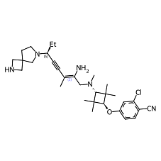 CC[C@@H](C#C/C(C)=C(\N)CN(C)[C@H]1C(C)(C)[C@H](Oc2ccc(C#N)c(Cl)c2)C1(C)C)N1CCC2(CNC2)C1